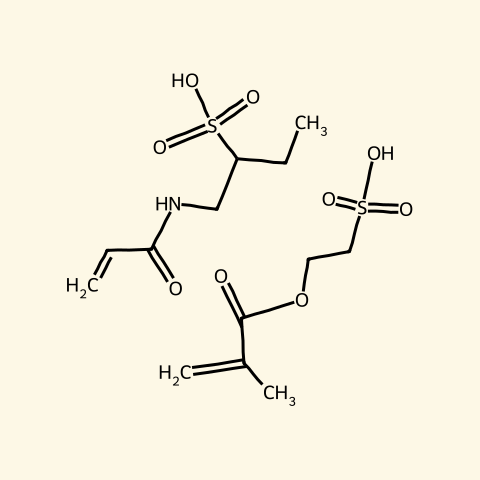 C=C(C)C(=O)OCCS(=O)(=O)O.C=CC(=O)NCC(CC)S(=O)(=O)O